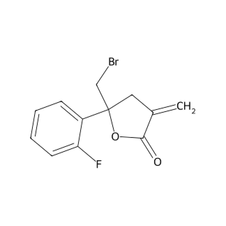 C=C1CC(CBr)(c2ccccc2F)OC1=O